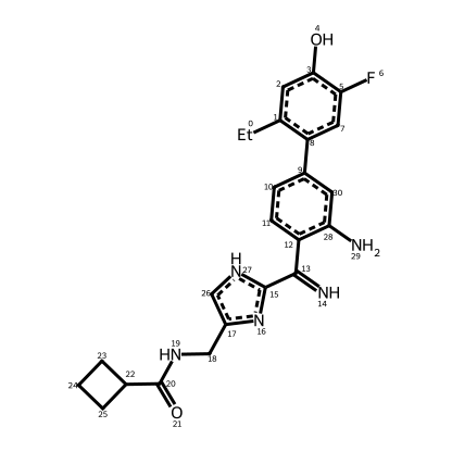 CCc1cc(O)c(F)cc1-c1ccc(C(=N)c2nc(CNC(=O)C3CCC3)c[nH]2)c(N)c1